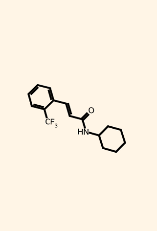 O=C(C=Cc1ccccc1C(F)(F)F)NC1CCCCC1